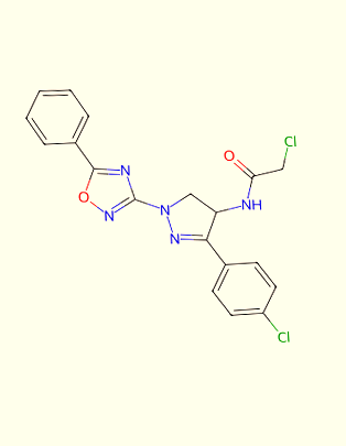 O=C(CCl)NC1CN(c2noc(-c3ccccc3)n2)N=C1c1ccc(Cl)cc1